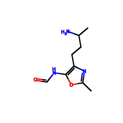 Cc1nc(CCC(C)N)c(NC=O)o1